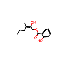 CCCC(C)=C(O)COC(=O)c1ccccc1O